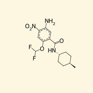 C[C@H]1CC[C@H](NC(=O)c2cc(N)c([N+](=O)[O-])cc2OC(F)F)CC1